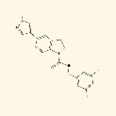 O=C(NCc1cc(F)cc(F)c1)N1CCc2cc(-c3cn[nH]c3)ccc21